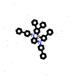 c1ccc(-c2ccc(N3c4ccc(-c5ccccc5)cc4B4c5cc(-c6ccccc6)c(-c6ccccc6)cc5N(c5ccc(-c6ccccc6)cc5)c5cccc3c54)cc2)cc1